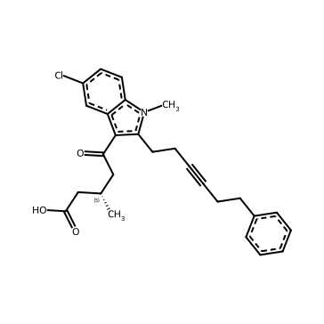 C[C@H](CC(=O)O)CC(=O)c1c(CCC#CCCc2ccccc2)n(C)c2ccc(Cl)cc12